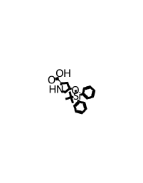 CC(C)(C)[Si](OC1CN[C@@H](C(=O)O)C1)(c1ccccc1)c1ccccc1